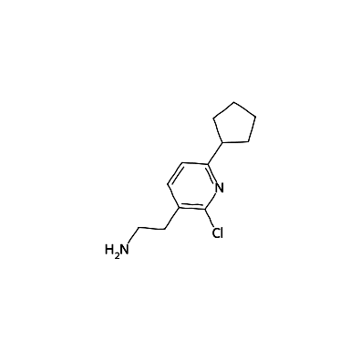 NCCc1ccc(C2CCCC2)nc1Cl